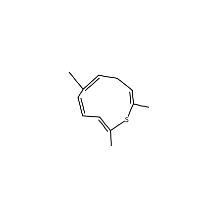 CC1=C/C/C=C(/C)S/C(C)=C/C=C\1